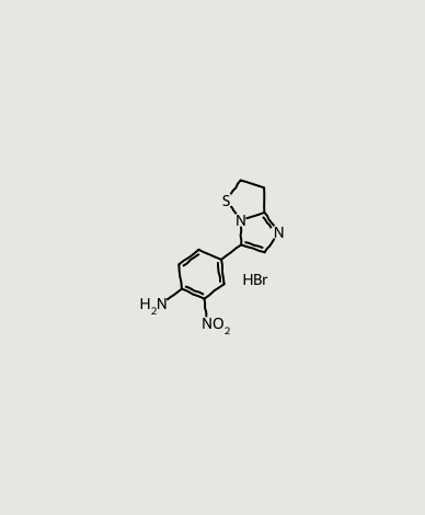 Br.Nc1ccc(-c2cnc3n2SCC3)cc1[N+](=O)[O-]